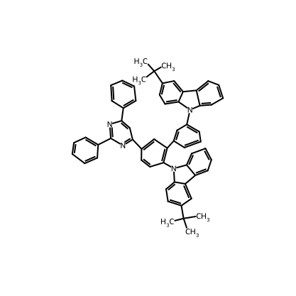 CC(C)(C)c1ccc2c(c1)c1ccccc1n2-c1cccc(-c2cc(-c3cc(-c4ccccc4)nc(-c4ccccc4)n3)ccc2-n2c3ccccc3c3cc(C(C)(C)C)ccc32)c1